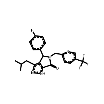 CC(C)Cc1n[nH]c2c1C(c1ccc(F)cc1)N(Cc1ccc(C(F)(F)F)cn1)C2=O